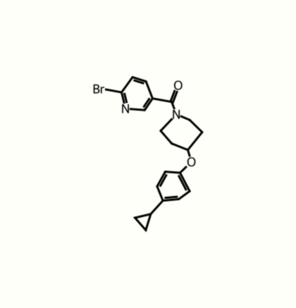 O=C(c1ccc(Br)nc1)N1CCC(Oc2ccc(C3CC3)cc2)CC1